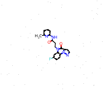 Cc1cccc(NC(=O)CCn2c(=O)c3ccnn3c3ccc(F)cc32)n1